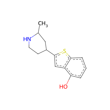 CC1CC(c2cc3c(O)cccc3s2)CCN1